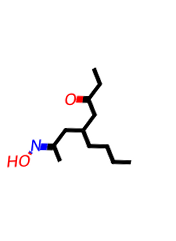 CCCCC(CC(=O)CC)CC(C)=NO